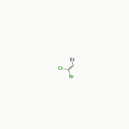 CC/C=C(\Cl)Br